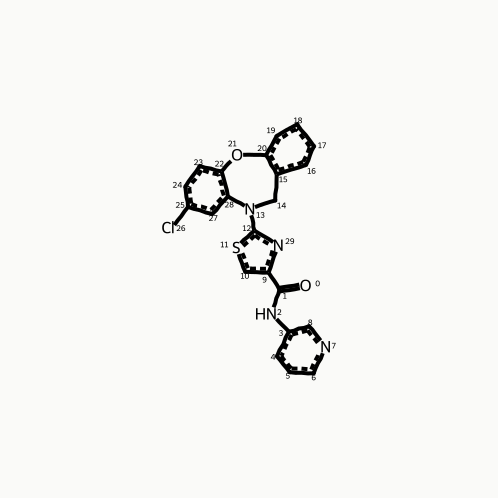 O=C(Nc1cccnc1)c1csc(N2Cc3ccccc3Oc3ccc(Cl)cc32)n1